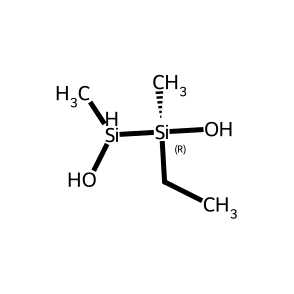 CC[Si@](C)(O)[SiH](C)O